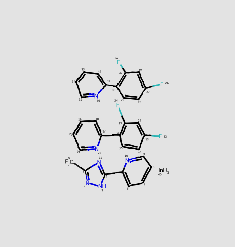 FC(F)(F)c1n[nH]c(-c2ccccn2)n1.Fc1ccc(-c2ccccn2)c(F)c1.Fc1ccc(-c2ccccn2)c(F)c1.[InH3]